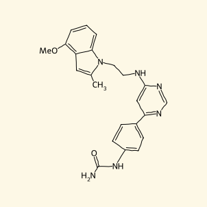 COc1cccc2c1cc(C)n2CCNc1cc(-c2ccc(NC(N)=O)cc2)ncn1